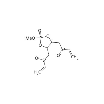 C=C[S+]([O-])CC1OP(=O)(OC)OC1C[S+]([O-])C=C